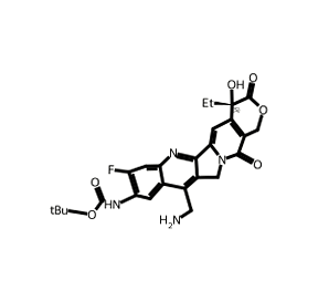 CC[C@@]1(O)C(=O)OCc2c1cc1n(c2=O)Cc2c-1nc1cc(F)c(NC(=O)OC(C)(C)C)cc1c2CN